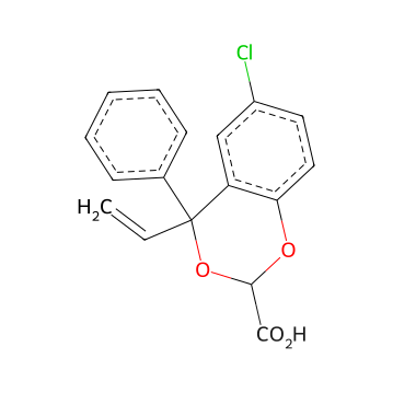 C=CC1(c2ccccc2)OC(C(=O)O)Oc2ccc(Cl)cc21